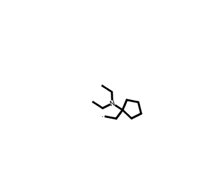 [CH2]CC1(N(CC)CC)CCCC1